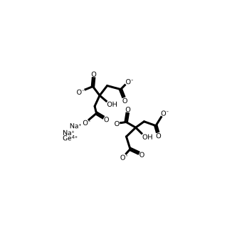 O=C([O-])CC(O)(CC(=O)[O-])C(=O)[O-].O=C([O-])CC(O)(CC(=O)[O-])C(=O)[O-].[Ge+4].[Na+].[Na+]